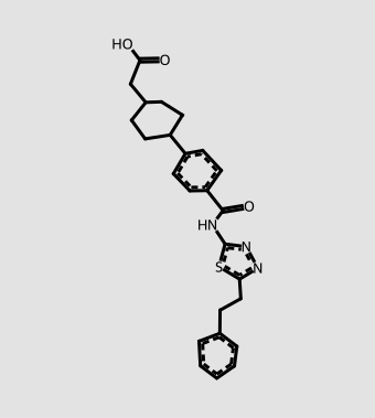 O=C(O)CC1CCC(c2ccc(C(=O)Nc3nnc(CCc4ccccc4)s3)cc2)CC1